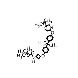 CN(C)c1cnc(Oc2ccc(C(C)(C)c3ccc(O[C@H]4C[C@H](NC(=O)OC(C)(C)C)C4)cc3)cc2)cn1